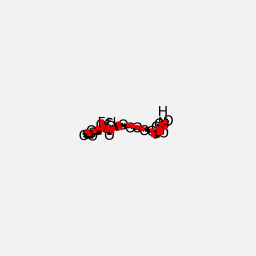 CCOc1cc2oc(-c3ccc(OCCOCCOCCOCCOc4cccc5c4C(=O)N(C4CCC(=O)NC4=O)C5=O)cc3Cl)cc(=O)c2cc1-c1ccc(S(=O)(=O)N2CCOCC2)cc1